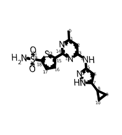 Cc1cc(Nc2cc(C3CC3)[nH]n2)nc(-c2ccc(S(N)(=O)=O)s2)n1